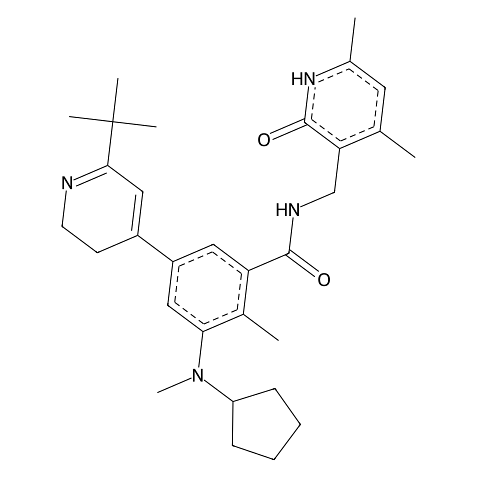 Cc1cc(C)c(CNC(=O)c2cc(C3=CC(C(C)(C)C)=NCC3)cc(N(C)C3CCCC3)c2C)c(=O)[nH]1